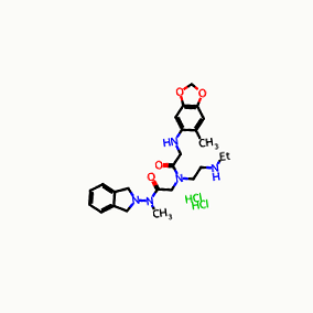 CCNCCN(CC(=O)N(C)N1Cc2ccccc2C1)C(=O)CNc1cc2c(cc1C)OCO2.Cl.Cl